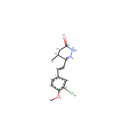 COc1ccc(C=CC2=NNC(=O)CC2C)cc1Cl